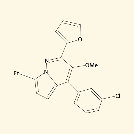 CCc1ccc2c(-c3cccc(Cl)c3)c(OC)c(-c3ccco3)nn12